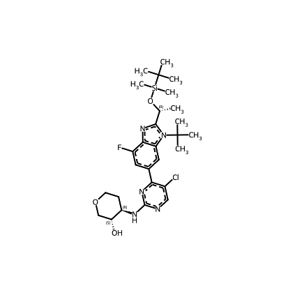 C[C@@H](O[Si](C)(C)C(C)(C)C)c1nc2c(F)cc(-c3nc(N[C@@H]4CCOC[C@H]4O)ncc3Cl)cc2n1C(C)(C)C